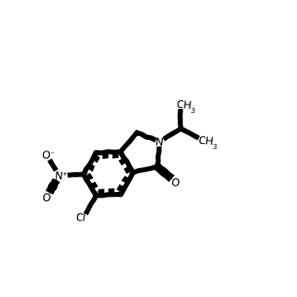 CC(C)N1Cc2cc([N+](=O)[O-])c(Cl)cc2C1=O